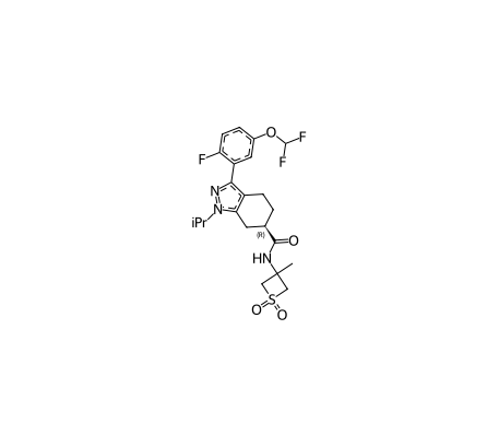 CC(C)n1nc(-c2cc(OC(F)F)ccc2F)c2c1C[C@H](C(=O)NC1(C)CS(=O)(=O)C1)CC2